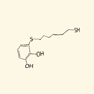 Oc1cccc(SCCCCCCS)c1O